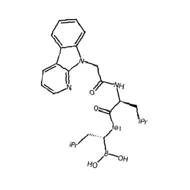 CC(C)C[C@H](NC(=O)[C@H](CC(C)C)NC(=O)Cn1c2ccccc2c2cccnc21)B(O)O